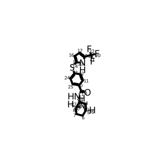 O=C(N[C@@H]1C[C@H]2CC[C@@H]1N2)c1ccc(Sc2ccc(C(F)(F)F)[nH]2)cc1